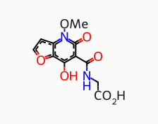 COn1c(=O)c(C(=O)NCC(=O)O)c(O)c2occc21